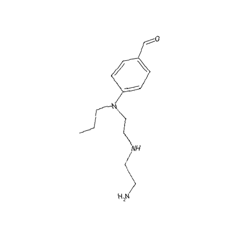 CCCN(CCNCCN)c1ccc(C=O)cc1